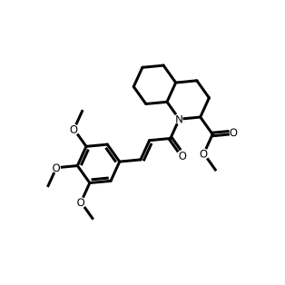 COC(=O)C1CCC2CCCCC2N1C(=O)C=Cc1cc(OC)c(OC)c(OC)c1